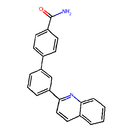 NC(=O)c1ccc(-c2cccc(-c3ccc4ccccc4n3)c2)cc1